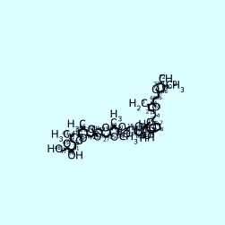 C=C1C[C@H](CC[C@]23CCC(O2)[C@H]2C[C@@H](O3)[C@H]3O[C@@H](CC(=O)O[C@H]4[C@H](C)OC5CC6O[C@]7(CC6OC5[C@@H]4C)CC4O[C@]5(C[C@H](C)C6OC(CO)[C@H](O)CC6O5)C[C@H](C)C4O7)CC[C@@H]3O2)OC1CCC1C[C@@H](C)C(=C)CO1